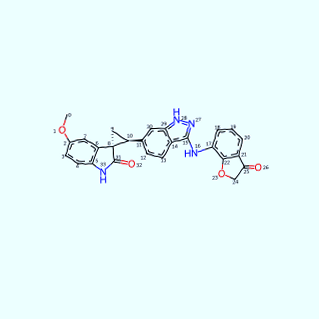 COc1ccc2c(c1)[C@]1(C[C@H]1c1ccc3c(Nc4cccc5c4OCC5=O)n[nH]c3c1)C(=O)N2